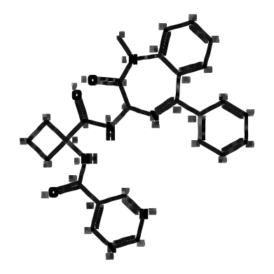 CN1C(=O)C(NC(=O)C2(NC(=O)c3cncnc3)CCC2)N=C(c2ccccc2)c2ccccc21